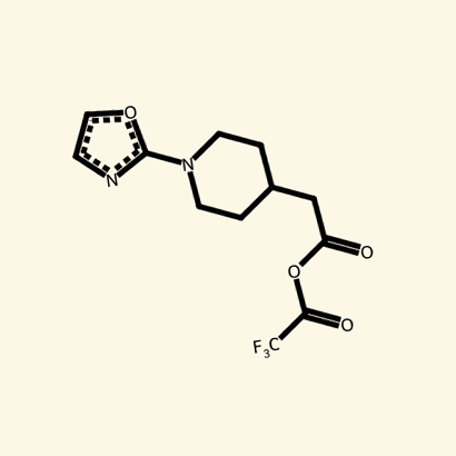 O=C(CC1CCN(c2ncco2)CC1)OC(=O)C(F)(F)F